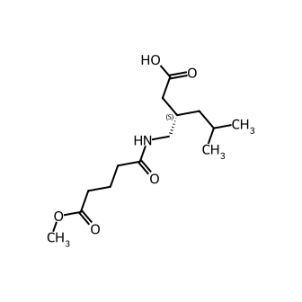 COC(=O)CCCC(=O)NC[C@H](CC(=O)O)CC(C)C